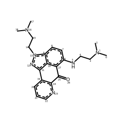 CN(C)CCNc1ccc2c3c(nn2CCN(C)C)-c2cccnc2C(=O)c13